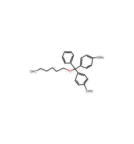 COc1ccc(C(OCCCCCC=O)(c2ccccc2)c2ccc(OC)cc2)cc1